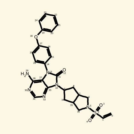 C=CS(=O)(=O)N1CC2CC(n3c(=O)n(-c4ccc(Oc5ccccc5)cc4)c4c(N)ncnc43)CC2C1